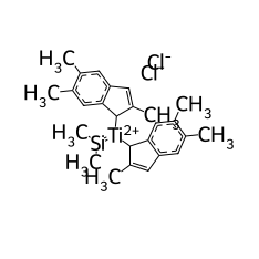 CC1=Cc2cc(C)c(C)cc2[CH]1[Ti+2]([CH]1C(C)=Cc2cc(C)c(C)cc21)=[Si](C)C.[Cl-].[Cl-]